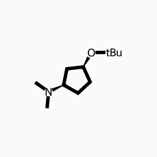 CN(C)[C@@H]1CC[C@H](OC(C)(C)C)C1